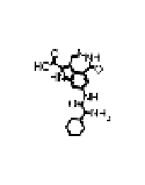 NC(C(=O)Nc1cc2c3c(c(C(=O)O)[nH]c3c1)C=NNC2=O)C1CCCCC1